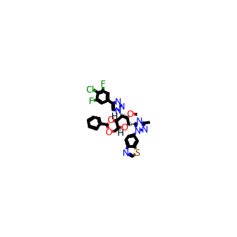 CO[C@@H]1[C@@H](n2cc(-c3cc(F)c(Cl)c(F)c3)nn2)[C@H]2OC(c3ccccc3)OC[C@H]2O[C@H]1c1nc(C)nn1-c1ccc2ncsc2c1